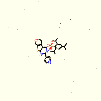 CC(C)c1cc(C(C)C)c(S(=O)(=O)Oc2nc(-c3ccncc3)nc3sc4c(c23)CCOC4)c(C(C)C)c1